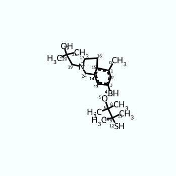 Cc1cc(BOC(C)(C)C(C)(C)S)cc2c1CCN(CC(C)(C)O)C2